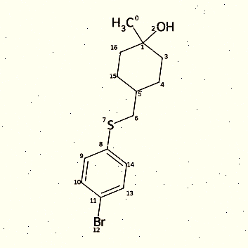 CC1(O)CCC(CSc2ccc(Br)cc2)CC1